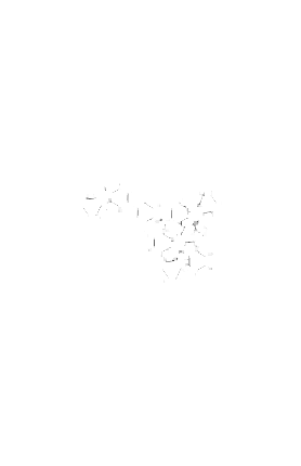 Cc1cc(-c2ccc3oc4ccccc4c3c2)ccc1N(c1ccc2c(c1)C(C)(C)c1ccccc1-2)c1cccc2c1-c1ccccc1C2(c1ccccc1)c1ccccc1